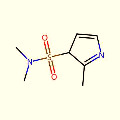 CC1=NC=CC1S(=O)(=O)N(C)C